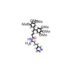 COc1cc(C(=C/C=C/C(=O)N[C@H](C)CCCc2cccnc2)c2cc(OC)c(OC)c(OC)c2)cc(OC)c1OC